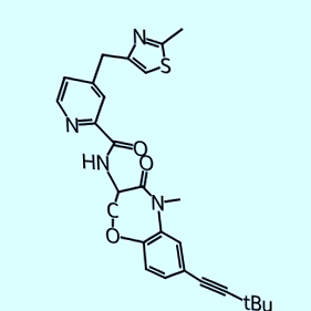 Cc1nc(Cc2ccnc(C(=O)NC3COc4ccc(C#CC(C)(C)C)cc4N(C)C3=O)c2)cs1